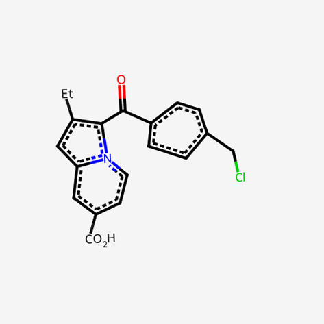 CCc1cc2cc(C(=O)O)ccn2c1C(=O)c1ccc(CCl)cc1